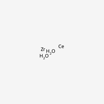 O.O.[Ce].[Zr]